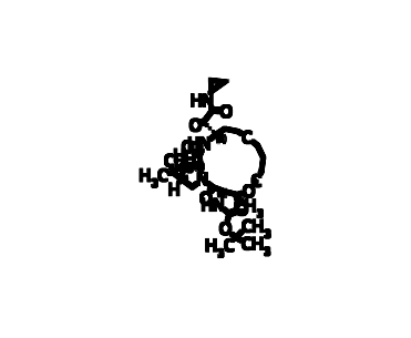 C[C@@H]1OCCCCCCC[C@@H](C(=O)C(=O)NC2CC2)NC(=O)[C@@H]2[C@@H]3[C@H](CN2C(=O)[C@H]1NC(=O)OC(C)(C)C)C3(C)C